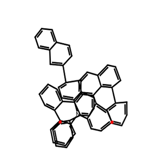 c1ccc(-c2ccccc2-c2ccccc2-c2ccccc2N(c2ccc(-c3ccc4ccccc4c3)cc2)c2ccccc2-c2cccc3cccc(-c4ccccc4)c23)cc1